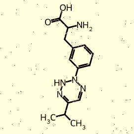 CC(C)C1=NNN(c2cccc(CC(N)C(=O)O)c2)N=C1